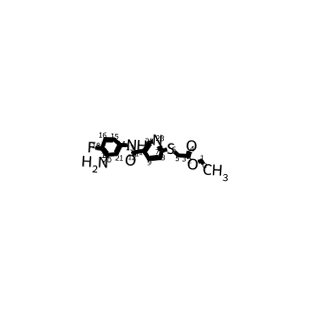 CCOC(=O)CSc1ccc(C(=O)Nc2ccc(F)c(N)c2)cn1